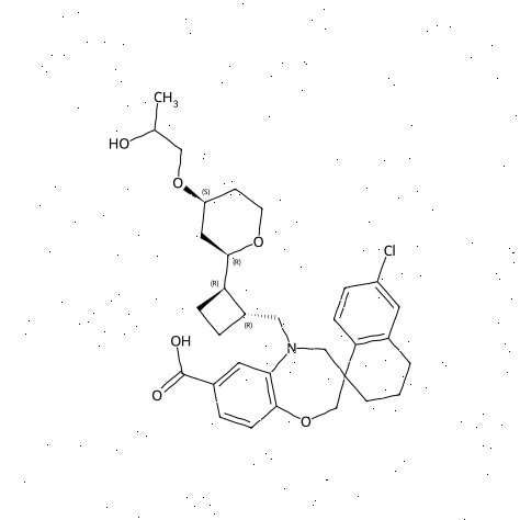 CC(O)CO[C@H]1CCO[C@@H]([C@@H]2CC[C@H]2CN2CC3(CCCc4cc(Cl)ccc43)COc3ccc(C(=O)O)cc32)C1